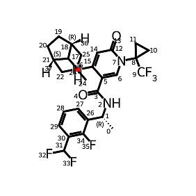 C[C@@H](NC(=O)c1cn(C2(C(F)(F)F)CC2)c(=O)cc1NC1[C@@H]2CC[C@H]1CN(C)C2)c1cccc(C(F)F)c1F